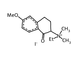 CC[N+](C)(C)C1CCc2cc(OC)ccc2C1=O.[I-]